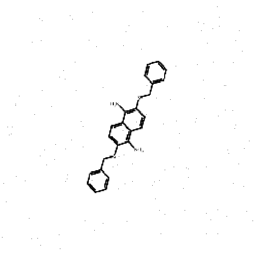 Nc1c(SCc2ccccc2)ccc2c(N)c(SCc3ccccc3)ccc12